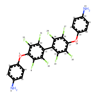 Nc1ccc(Oc2c(F)c(F)c(-c3c(F)c(F)c(Oc4ccc(N)cc4)c(F)c3F)c(F)c2F)cc1